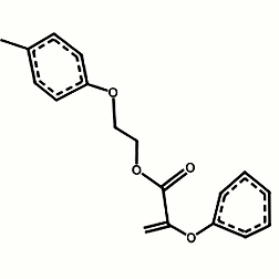 C=C(Oc1ccccc1)C(=O)OCCOc1ccc(C)cc1